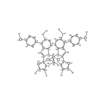 CCc1ccc2c(c1-c1ccc(OC)cc1)C=C(c1cc(C)c(C)o1)[CH]2[Zr]([Cl])([Cl])([CH]1C(c2cc(C)c(C)o2)=Cc2c1ccc(CC)c2-c1ccc(OC)cc1)=[Si](C)C